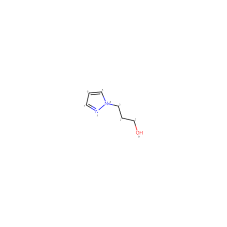 OCCCn1c[c]cn1